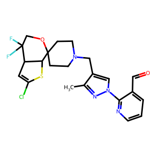 Cc1nn(-c2ncccc2C=O)cc1CN1CCC2(CC1)OCC(F)(F)C1C=C(Cl)SC12